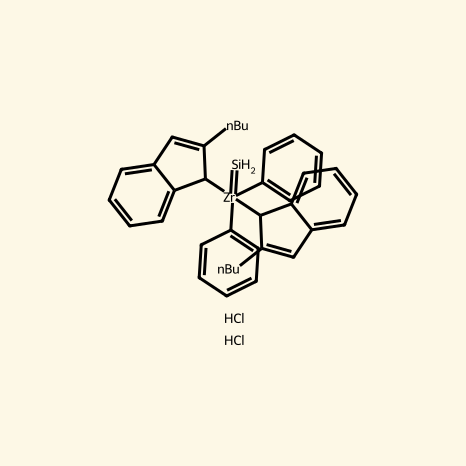 CCCCC1=Cc2ccccc2[CH]1[Zr](=[SiH2])([c]1ccccc1)([c]1ccccc1)[CH]1C(CCCC)=Cc2ccccc21.Cl.Cl